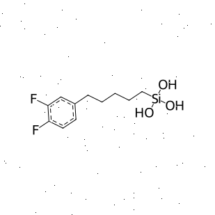 O[Si](O)(O)CCCCCc1ccc(F)c(F)c1